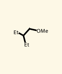 CCC([CH]OC)CC